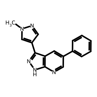 Cn1cc(-c2n[nH]c3ncc(-c4ccccc4)cc23)cn1